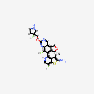 N#Cc1c(N)sc2c(F)cnc(-c3c4c(c5cnc(OCC6(F)CCNC6)nc5c3F)COC4)c12